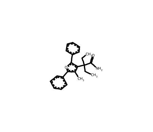 CCC(CC)(C(N)=O)c1c(-c2ccccc2)oc(-c2ccccc2)c1C